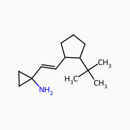 CC(C)(C)C1CCCC1/C=C/C1(N)CC1